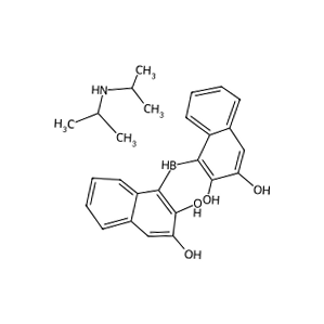 CC(C)NC(C)C.Oc1cc2ccccc2c(Bc2c(O)c(O)cc3ccccc23)c1O